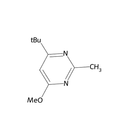 COc1cc(C(C)(C)C)nc(C)n1